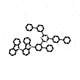 c1ccc(-c2ccc(-c3nc(-c4cccc(-c5ccccc5)c4)nc(-c4cc(-n5c6ccccc6c6c(-n7c8ccccc8c8ccccc87)cccc65)ccc4-c4ccccc4)n3)cc2)cc1